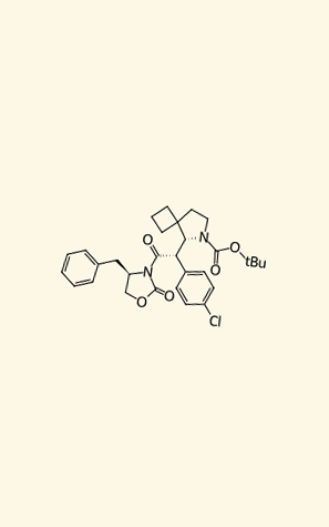 CC(C)(C)OC(=O)N1CCC2(CCC2)[C@H]1[C@@H](C(=O)N1C(=O)OC[C@H]1Cc1ccccc1)c1ccc(Cl)cc1